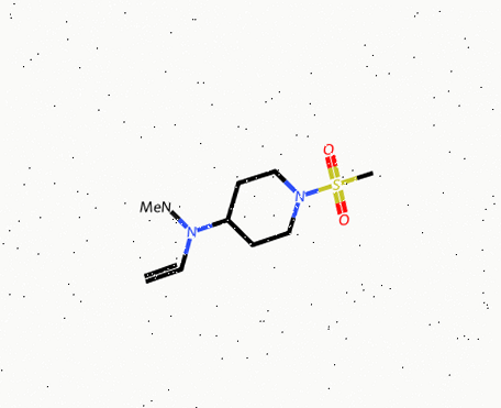 C=CN(NC)C1CCN(S(C)(=O)=O)CC1